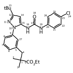 CCOC(=O)C(C)(C)Cc1cccc(-n2nc(C(C)(C)C)cc2NC(=O)Nc2ccc(Cl)cc2)c1